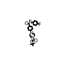 CN(C(=O)c1ccc(N2CCN(C(=O)OC(C)(C)C)CC2)cc1)c1ccc(F)cc1